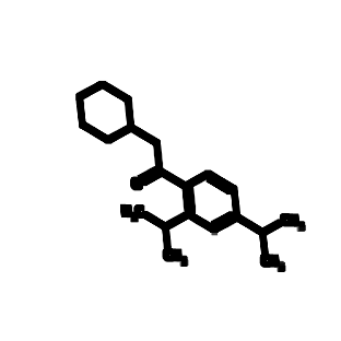 CC(C)c1[c]c(C(C)C)c(C(=O)CC2CCCCC2)cc1